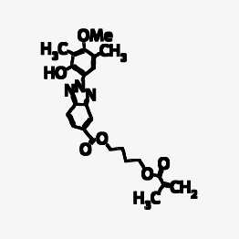 C=C(C)C(=O)OCCCCOC(=O)c1ccc2nn(-c3cc(C)c(OC)c(C)c3O)nc2c1